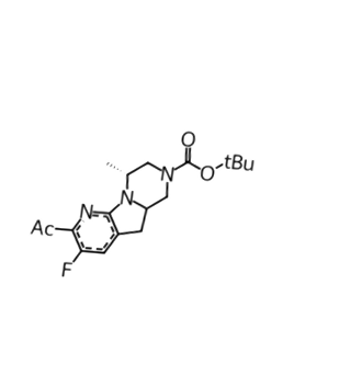 CC(=O)c1nc2c(cc1F)CC1CN(C(=O)OC(C)(C)C)C[C@@H](C)N21